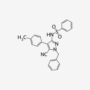 Cc1ccc(-c2c(NS(=O)(=O)c3ccccc3)nn(Cc3ccccc3)c2C#N)cc1